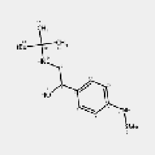 CSNc1ccc(C(O)CNC(C)(C)C(C)(C)C)cc1